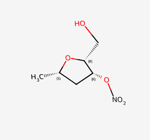 C[C@H]1C[C@@H](O[N+](=O)[O-])[C@@H](CO)O1